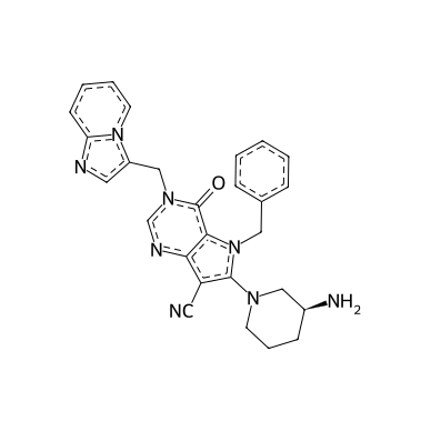 N#Cc1c(N2CCC[C@H](N)C2)n(Cc2ccccc2)c2c(=O)n(Cc3cnc4ccccn34)cnc12